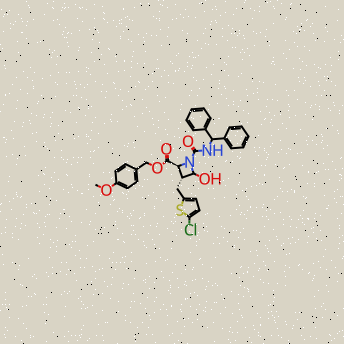 COc1ccc(COC(=O)[C@@H]2[C@@H](Cc3ccc(Cl)s3)C(O)N2C(=O)NC(c2ccccc2)c2ccccc2)cc1